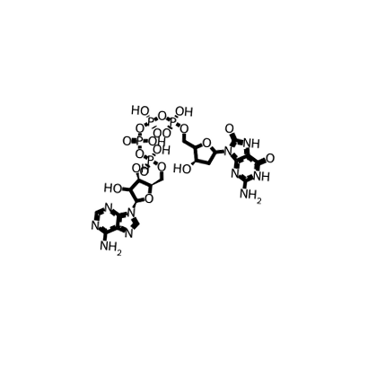 Nc1nc2c([nH]c(=O)n2C2C[C@@H](O)C(COP(=O)(O)OP(=O)(O)OP(=O)(O)OP(=O)(O)OC[C@H]3O[C@@H](n4cnc5c(N)ncnc54)C(O)[C@H]3O)O2)c(=O)[nH]1